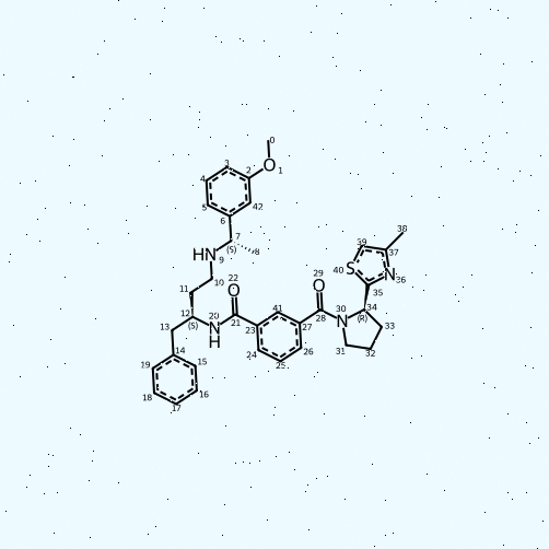 COc1cccc([C@H](C)NCC[C@H](Cc2ccccc2)NC(=O)c2cccc(C(=O)N3CCC[C@@H]3c3nc(C)cs3)c2)c1